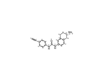 N#Cc1ccc(NC(=O)Nc2ccc3c(c2)CC[C@H](N)C3)cc1